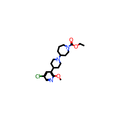 CCOC(=O)N1CCCC(N2CCC(c3cc(Cl)cnc3OC)CC2)CC1